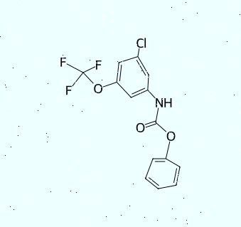 O=C(Nc1cc(Cl)cc(OC(F)(F)F)c1)Oc1ccccc1